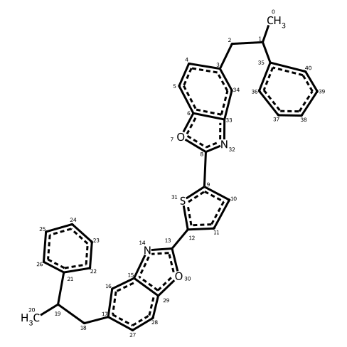 CC(Cc1ccc2oc(-c3ccc(-c4nc5cc(CC(C)c6ccccc6)ccc5o4)s3)nc2c1)c1ccccc1